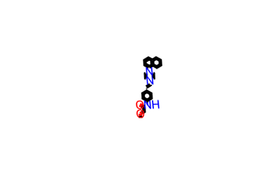 COCC(=O)N[C@H]1CC[C@H](CCN2CCN(c3cccc4c3CCCC4)CC2)CC1